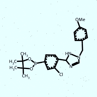 COc1ccc(CN2C=NC(c3ccc(B4OC(C)(C)C(C)(C)O4)cc3Cl)N2)cc1